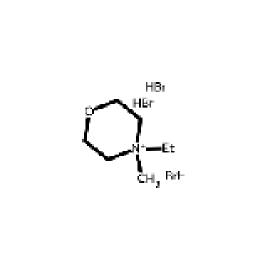 Br.Br.Br.CC[N+]1(C)CCOCC1